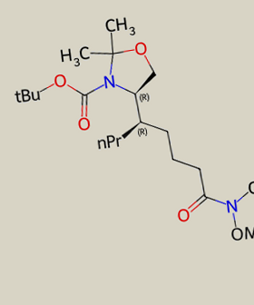 CCC[C@H](CCCC(=O)N(C)OC)[C@@H]1COC(C)(C)N1C(=O)OC(C)(C)C